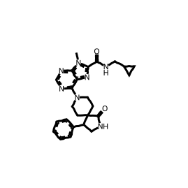 Cn1c(C(=O)NCC2CC2)nc2c(N3CCC4(CC3)C(=O)NCC4c3ccccc3)ncnc21